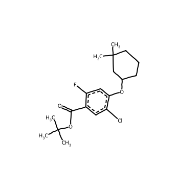 CC1(C)CCCC(Oc2cc(F)c(C(=O)OC(C)(C)C)cc2Cl)C1